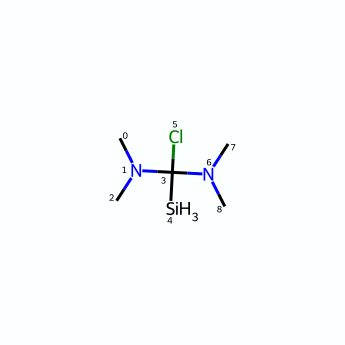 CN(C)C([SiH3])(Cl)N(C)C